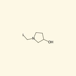 OC1CCN(CI)C1